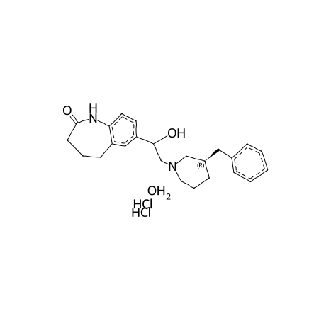 Cl.Cl.O.O=C1CCCc2cc(C(O)CN3CCC[C@H](Cc4ccccc4)C3)ccc2N1